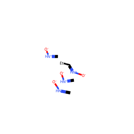 C=[NH+][O-].C=[NH+][O-].C=[NH+][O-].CCC=[NH+][O-]